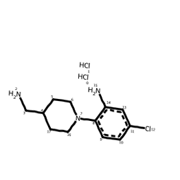 Cl.Cl.NCC1CCN(c2ccc(Cl)cc2N)CC1